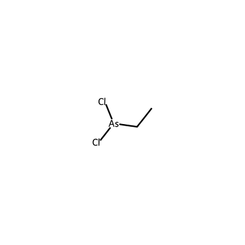 CC[As](Cl)Cl